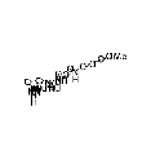 CCCCc1nc(Cl)c(CNC(=O)COCC(=O)NCCOCCOCCOCCOC)n1Cc1ccc(-c2ccccc2-c2nn[nH]n2)cc1